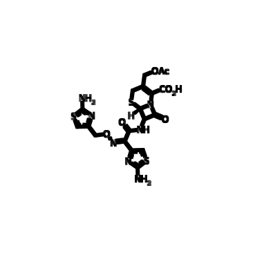 CC(=O)OCC1=C(C(=O)O)N2C(=O)C(NC(=O)/C(=N\OCc3csc(N)n3)c3csc(N)n3)[C@@H]2SC1